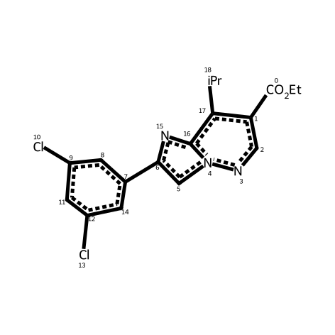 CCOC(=O)c1cnn2cc(-c3cc(Cl)cc(Cl)c3)nc2c1C(C)C